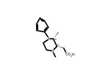 C[C@@H]1[C@H](CC(=O)O)N(C)CCN1c1ccccc1